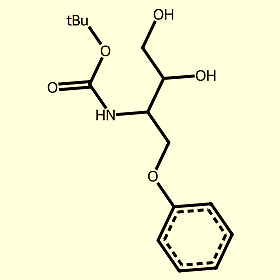 CC(C)(C)OC(=O)NC(COc1ccccc1)C(O)CO